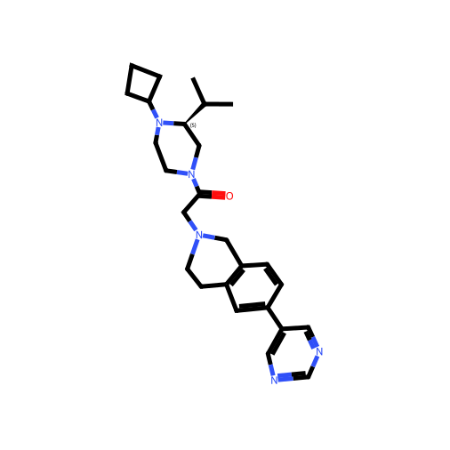 CC(C)[C@H]1CN(C(=O)CN2CCc3cc(-c4cncnc4)ccc3C2)CCN1C1CCC1